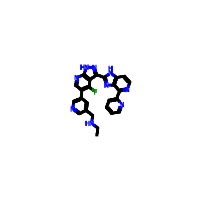 CCNCc1cncc(-c2cnc3[nH]nc(-c4nc5c(-c6ccccn6)nccc5[nH]4)c3c2F)c1